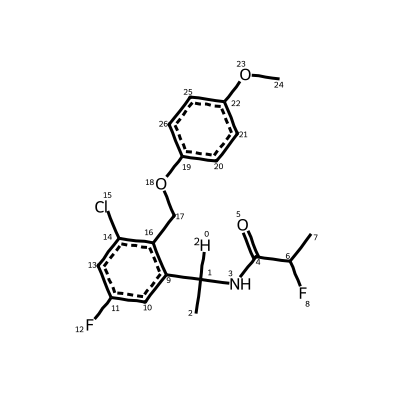 [2H]C(C)(NC(=O)C(C)F)c1cc(F)cc(Cl)c1COc1ccc(OC)cc1